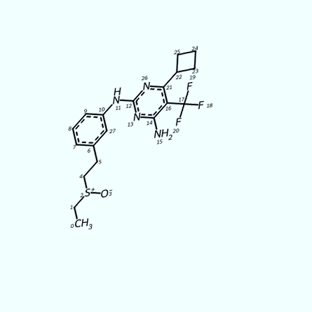 CC[S+]([O-])CCc1cccc(Nc2nc(N)c(C(F)(F)F)c(C3CCC3)n2)c1